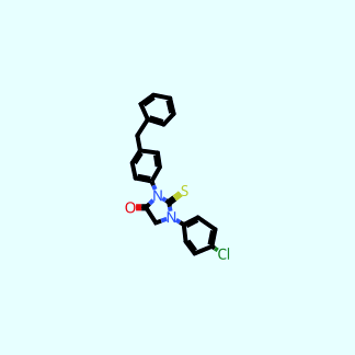 O=C1CN(c2ccc(Cl)cc2)C(=S)N1c1ccc(Cc2ccccc2)cc1